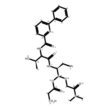 CC(C)C[C@H](NC(=O)C(NC(=O)c1cccc(-c2ccccc2)n1)[C@@H](C)O)B(OCC(=O)N(C)C)OC(=O)CC(=O)O